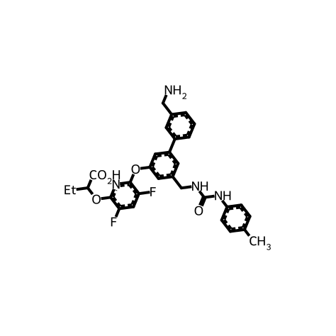 CCC(Oc1nc(Oc2cc(CNC(=O)Nc3ccc(C)cc3)cc(-c3cccc(CN)c3)c2)c(F)cc1F)C(=O)O